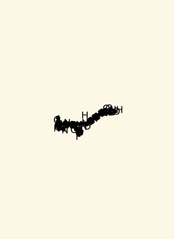 CCOc1cc(-c2ccc(N3CCC(CNCCNC(=O)C4CCC(N5CCC(c6ccc7c(c6)CN(C6CCC(=O)NC6=O)C7=O)CC5)CC4)(NC(=O)c4cc(F)ccc4F)CC3)nc2)c2c(C#N)cnn2c1